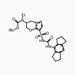 CCN(C(=O)OC(C)(C)C)C1COc2c(S(=O)(=O)NC(=O)Nc3c4c(cc5c3CCC5)CCC4)cnn2C1